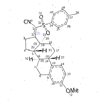 [C-]#[N+]/C(=C1\CC[C@H]2[C@@H]3CCc4cc(OC)ccc4[C@H]3CC[C@]12C)S(=O)(=O)c1ccc(C)cc1